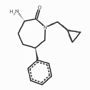 N[C@H]1CC[C@H](c2ccccc2)CN(CC2CC2)C1=O